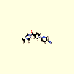 CC(C)N1CCN(C(=O)C2CCN(c3ccc(C#N)cn3)CC2)C[C@@H]1C